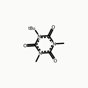 Cn1c(=O)n(C)c(=O)n(C(C)(C)C)c1=O